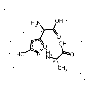 C[C@H](N)C(=O)O.NC(C(=O)O)c1cc(O)no1